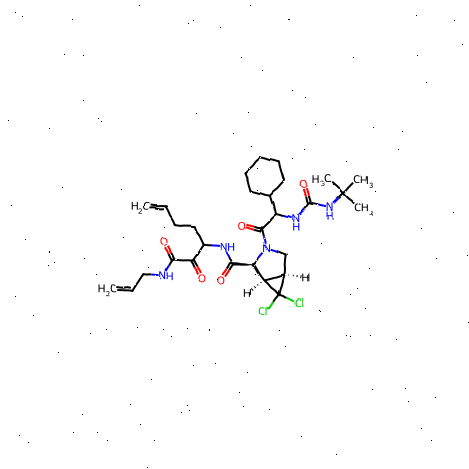 C=CCCC(NC(=O)[C@@H]1[C@H]2[C@@H](CN1C(=O)C(NC(=O)NC(C)(C)C)C1CCCCC1)C2(Cl)Cl)C(=O)C(=O)NCC=C